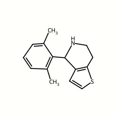 Cc1cccc(C)c1C1NCCc2sccc21